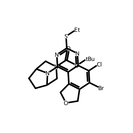 CCSc1nc(N2C3CCC2CN(C(=O)OC(C)(C)C)C3)c2c3c(c(Br)c(Cl)c2n1)COC3